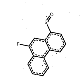 O=[S+]c1cccc2c1cc(F)c1ccccc12